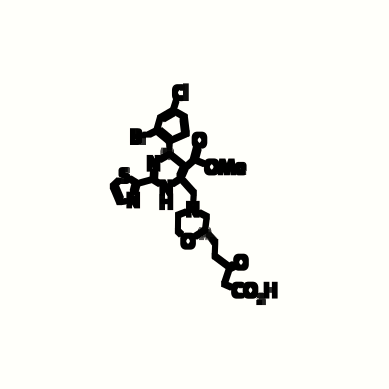 COC(=O)C1=C(CN2CCO[C@H](CCC(=O)CC(=O)O)C2)NC(c2nccs2)=N[C@H]1c1ccc(Cl)cc1Br